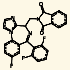 O=C1c2ccccc2C(=O)N1CC1N=C(c2c(F)cccc2F)c2cc(F)ccc2-n2ccnc21